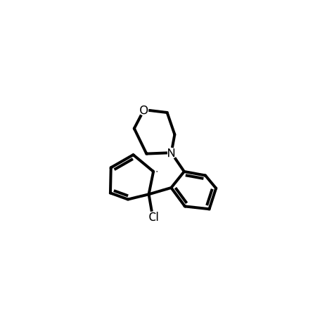 ClC1(c2ccccc2N2CCOCC2)[CH]C=CC=C1